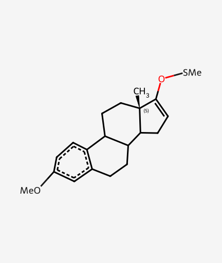 COc1ccc2c(c1)CCC1C2CC[C@]2(C)C(OSC)=CCC12